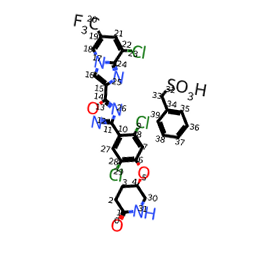 O=C1CC[C@@H](Oc2cc(Cl)c(-c3noc(-c4cn5cc(C(F)(F)F)cc(Cl)c5n4)n3)cc2Cl)CN1.O=S(=O)(O)Cc1ccccc1